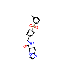 Cc1cccc(S(=O)(=O)c2ccc(CNC(=O)c3ccc4nccn4c3)cc2)c1